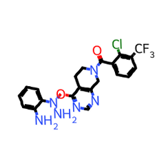 Nc1ccccc1N(N)Oc1ncnc2c1CCN(C(=O)c1cccc(C(F)(F)F)c1Cl)C2